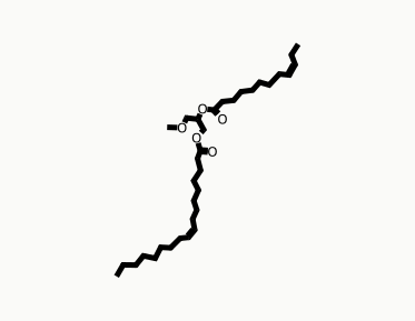 CC/C=C\CCCCCCCC(=O)OC(COC)COC(=O)CCCCCCC/C=C\CCCCCCCC